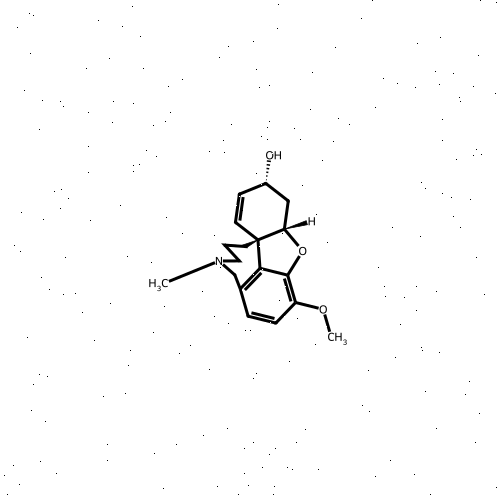 COc1ccc2c3c1O[C@H]1C[C@@H](O)C=C[C@@]31CCCN(C)C2